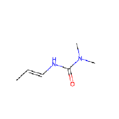 CC=CNC(=O)N(C)C